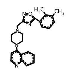 Cc1cccc(-c2nc(CN3CCN(c4ccnc5ccccc45)CC3)no2)c1C